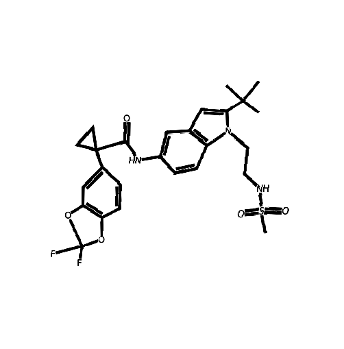 CC(C)(C)c1cc2cc(NC(=O)C3(c4ccc5c(c4)OC(F)(F)O5)CC3)ccc2n1CCNS(C)(=O)=O